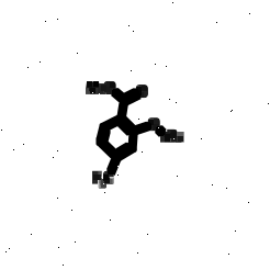 CCCCOc1cc(C(F)(F)F)ccc1C(=O)OC